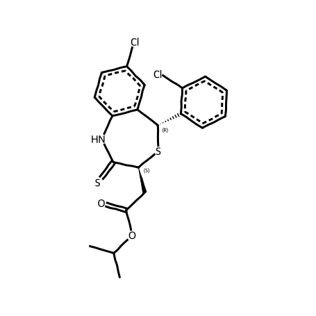 CC(C)OC(=O)C[C@@H]1S[C@@H](c2ccccc2Cl)c2cc(Cl)ccc2NC1=S